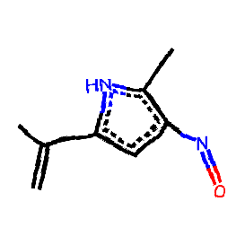 C=C(C)c1cc(N=O)c(C)[nH]1